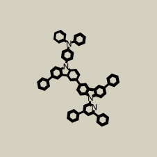 C1=CC(N(c2ccccc2)c2ccc(N3c4ccc(-c5ccccc5)cc4C4C=C(c5ccc6c(c5)c5cc(-c7ccccc7)ccc5n6-c5cc(-c6ccccc6)cc(-c6ccccc6)n5)C=CC43)cc2)=CCC1